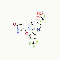 Cc1cccnc1[C@@H](NC(=O)c1ccc(=O)[nH]c1)c1ccc(C(F)(F)F)cc1.O=C(O)C(F)(F)F